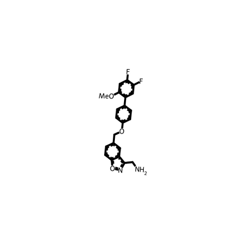 COc1cc(F)c(F)cc1-c1ccc(OCc2ccc3onc(CN)c3c2)cc1